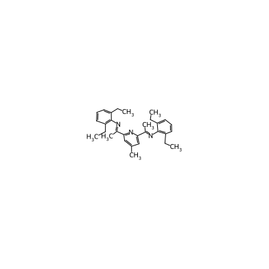 CCc1cccc(CC)c1/N=C(\C)c1cc(C)cc(/C(C)=N/c2c(CC)cccc2CC)n1